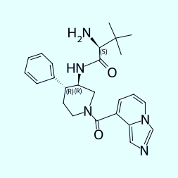 CC(C)(C)[C@H](N)C(=O)N[C@H]1CN(C(=O)c2cccn3cncc23)CC[C@@H]1c1ccccc1